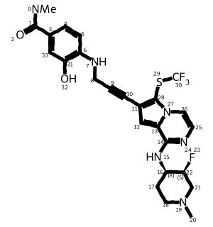 CNC(=O)c1ccc(NCC#Cc2cc3c(N[C@@H]4CCN(C)C[C@@H]4F)nccn3c2SC(F)(F)F)c(O)c1